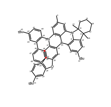 Cc1cc2c3c(c1)N1c4c(cc(C(C)(C)C)cc4C4(C)CCCCC14C)B3c1cc3oc4cc(C(C)(C)C)ccc4c3cc1N2c1ccc(C(C)(C)C)cc1-c1ccccc1